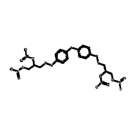 O=[N+]([O-])OCC(CSSc1ccc(Sc2ccc(SSCC(CO[N+](=O)[O-])O[N+](=O)[O-])cc2)cc1)O[N+](=O)[O-]